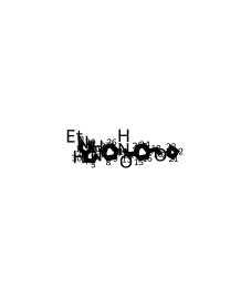 CCN1C[C@H]2CCN(c3ccc(NC(=O)c4ccc(COC5CCC5)cc4)cc3)[C@H]2C1